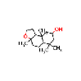 CC1(C)CC(O)CC2(C)C1CCC1(C)OCCC12